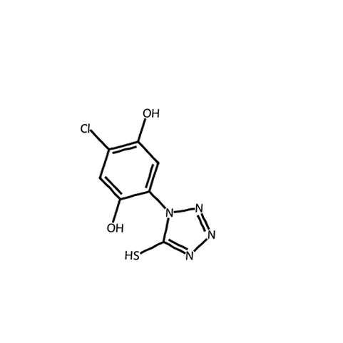 Oc1cc(-n2nnnc2S)c(O)cc1Cl